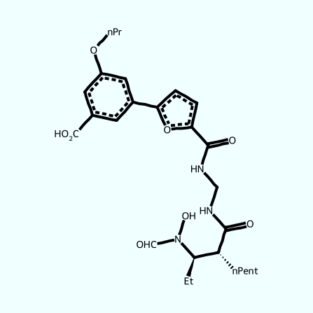 CCCCC[C@@H](C(=O)NCNC(=O)c1ccc(-c2cc(OCCC)cc(C(=O)O)c2)o1)[C@@H](CC)N(O)C=O